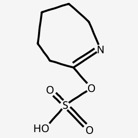 O=S(=O)(O)OC1=NCCCCC1